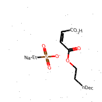 CCCCCCCCCCCCOC(=O)/C=C\C(=O)O.CCS(=O)(=O)[O-].[Na+]